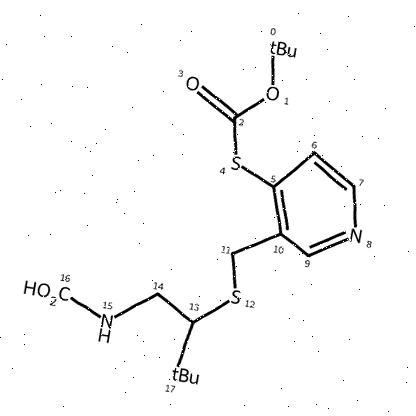 CC(C)(C)OC(=O)Sc1ccncc1CSC(CNC(=O)O)C(C)(C)C